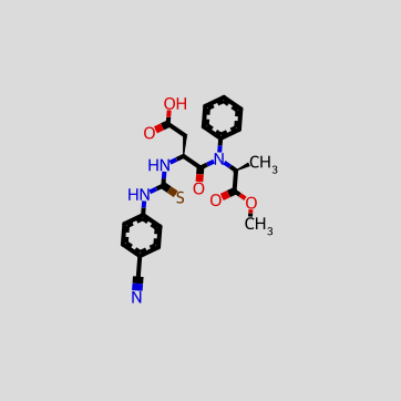 COC(=O)[C@H](C)N(C(=O)[C@H](CC(=O)O)NC(=S)Nc1ccc(C#N)cc1)c1ccccc1